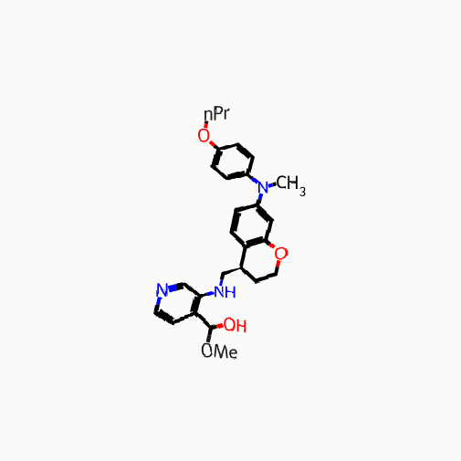 CCCOc1ccc(N(C)c2ccc3c(c2)OCC[C@H]3CNc2cnccc2C(O)OC)cc1